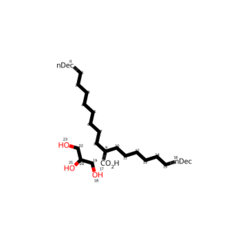 CCCCCCCCCCCCCCCCCCC(CCCCCCCCCCCCCCCC)C(=O)O.OCC(O)CO